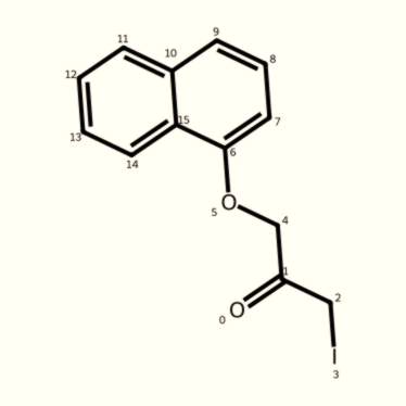 O=C(CI)COc1cccc2ccccc12